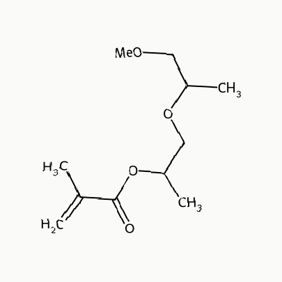 C=C(C)C(=O)OC(C)COC(C)COC